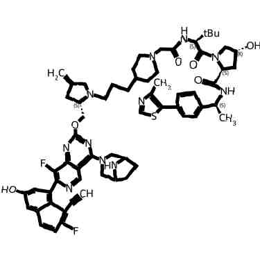 C#Cc1c(F)ccc2cc(O)cc(-c3ncc4c(N5CC6CCC(C5)N6)nc(OC[C@@H]5CC(=C)CN5CCCC5CCN(CC(=O)N[C@H](C(=O)N6C[C@H](O)C[C@H]6C(=O)N[C@@H](C)c6ccc(-c7scnc7C)cc6)C(C)(C)C)CC5)nc4c3F)c12